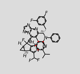 CC(C)c1ccc(-c2c([C@H](Cc3cc(F)cc(F)c3)N(C(=O)Cn3nc(C(F)F)c4c3C(F)(F)[C@@H]3C[C@H]43)c3ccccc3)nc3ncnn3c2N)cn1